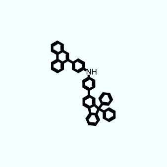 c1ccc(C2(c3ccccc3)c3ccccc3-c3ccc(-c4ccc(Nc5ccc(-c6cc7ccccc7c7ccccc67)cc5)cc4)cc32)cc1